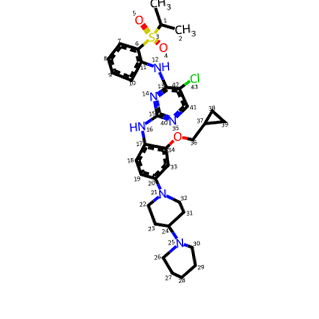 CC(C)S(=O)(=O)c1ccccc1Nc1nc(Nc2ccc(N3CCC(N4CCCCC4)CC3)cc2OCC2CC2)ncc1Cl